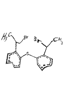 CC(Br)c1ccccc1Sc1ccccc1C(C)Br